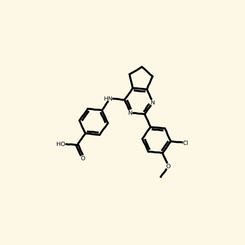 COc1ccc(-c2nc3c(c(Nc4ccc(C(=O)O)cc4)n2)CCC3)cc1Cl